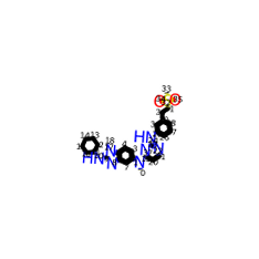 CN(c1ccc2c(c1)nc(NC1CCCCC1)n2C)c1ccnc(Nc2cccc(CCS(C)(=O)=O)c2)n1